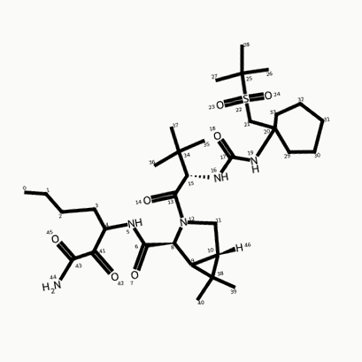 CCCCC(NC(=O)[C@@H]1C2[C@H](CN1C(=O)[C@@H](NC(=O)NC1(CS(=O)(=O)C(C)(C)C)CCCCC1)C(C)(C)C)C2(C)C)C(=O)C(N)=O